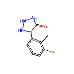 Cc1c(Br)cccc1N1NNNC1=O